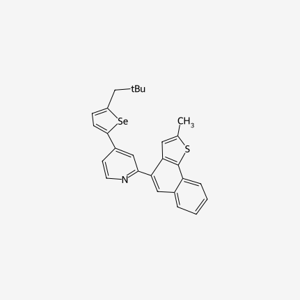 Cc1cc2c(-c3cc(-c4ccc(CC(C)(C)C)[se]4)ccn3)cc3ccccc3c2s1